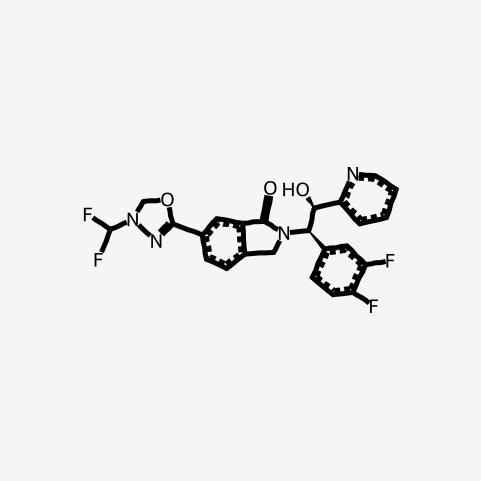 O=C1c2cc(C3=NN(C(F)F)CO3)ccc2CN1[C@H](c1ccc(F)c(F)c1)[C@@H](O)c1ccccn1